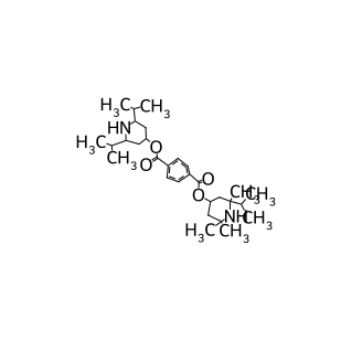 CC(C)C1CC(OC(=O)c2ccc(C(=O)OC3CC(C)(C)NC(C)(C(C)C)C3)cc2)CC(C(C)C)N1